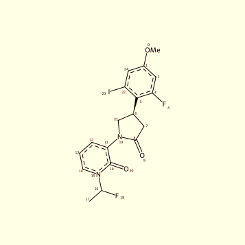 COc1cc(F)c([C@H]2CC(=O)N(c3cccn(C(C)F)c3=O)C2)c(I)c1